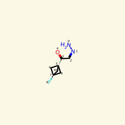 N/N=C\C(=O)[C@]12C[C@@](F)(C1)C2